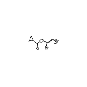 O=C(OC(Br)=CBr)C1CC1